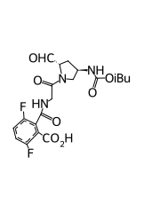 CC(C)COC(=O)N[C@@H]1C[C@@H](C=O)N(C(=O)CNC(=O)c2c(F)ccc(F)c2C(=O)O)C1